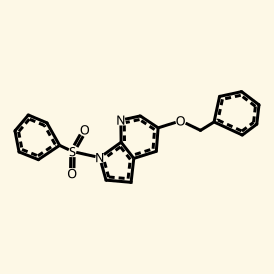 O=S(=O)(c1ccccc1)n1ccc2cc(OCc3ccccc3)cnc21